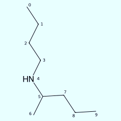 CCCCNC(C)CCC